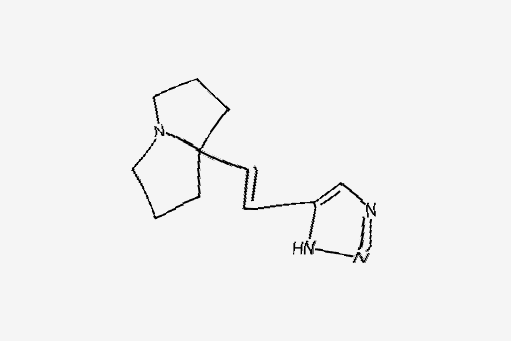 C(=CC12CCCN1CCC2)c1cnn[nH]1